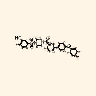 N#Cc1cc(S(=O)(=O)N2CCN(C(=O)c3cccc(-c4ccc(Oc5ccc(F)cc5)cc4)n3)CC2)ccc1F